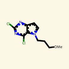 COCCCn1ccc2nc(Cl)nc(Cl)c21